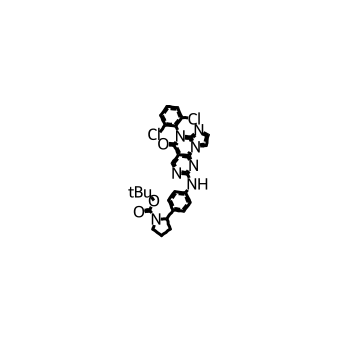 CC(C)(C)OC(=O)N1CCCC1c1ccc(Nc2ncc3c(=O)n(-c4c(Cl)cccc4Cl)c4nccn4c3n2)cc1